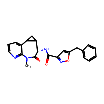 CN1C(=O)[C@@H](NC(=O)c2cc(Cc3ccccc3)on2)C2CC2c2cccnc21